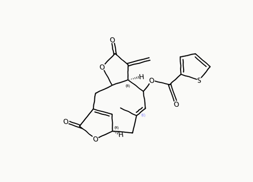 C=C1C(=O)OC2CC3=C[C@@H](C/C(C)=C/C(OC(=O)c4cccs4)[C@H]12)OC3=O